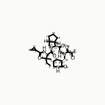 CCC(C)(C)[C@H](NC(=O)C1CC1)C(=O)N1C[C@@H]2CCC[C@@H]2[C@H]1C(=O)NN(C[C@H]1CCCNC1=O)C(=O)[C@H](F)Cl